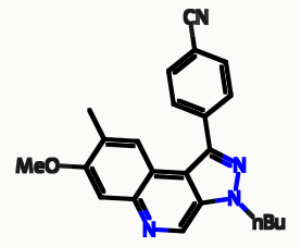 CCCCn1nc(-c2ccc(C#N)cc2)c2c3cc(C)c(OC)cc3ncc21